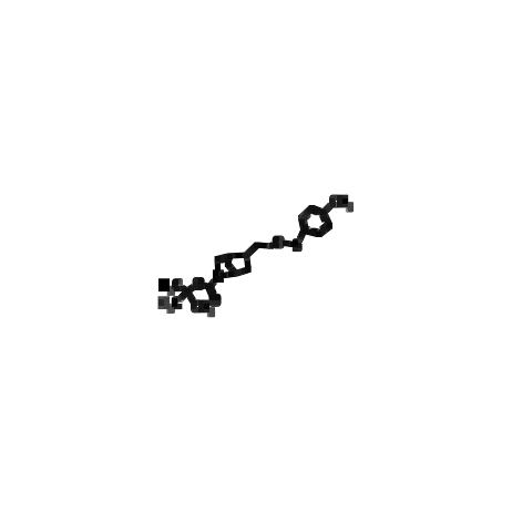 Cc1ccc(SOCCC2CC3CC2=CN3C(=O)OC(C)(C)C)cc1